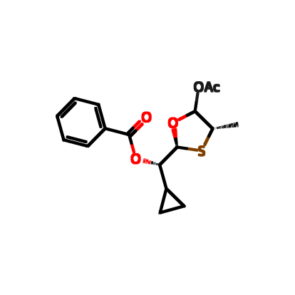 CC(=O)OC1O[C@H]([C@@H](OC(=O)c2ccccc2)C2CC2)S[C@H]1C